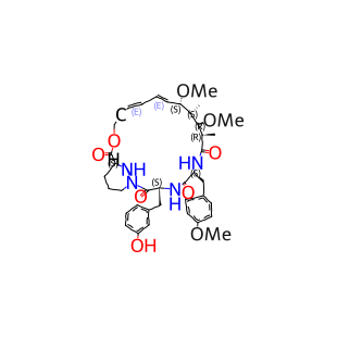 COc1ccc(C[C@@H]2NC(=O)[C@H](C)[C@H](OC)[C@@H](C)[C@@H](OC)/C=C/C=C/CCOC(=O)[C@@H]3CCCN(N3)C(=O)[C@H](Cc3cccc(O)c3)NC2=O)cc1